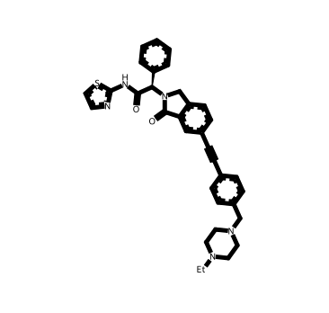 CCN1CCN(Cc2ccc(C#Cc3ccc4c(c3)C(=O)N([C@@H](C(=O)Nc3nccs3)c3ccccc3)C4)cc2)CC1